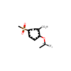 C[C@@H](Oc1ccc(S(C)(=O)=O)cc1C(=O)O)C(F)(F)F